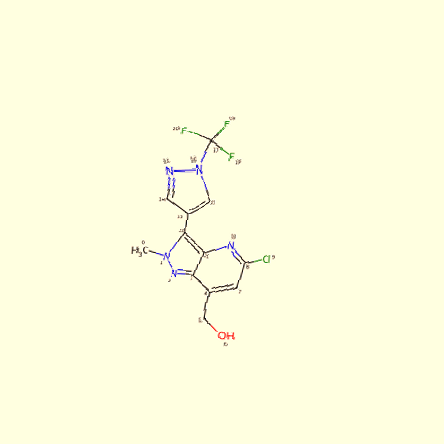 Cn1nc2c(CO)cc(Cl)nc2c1-c1cnn(C(F)(F)F)c1